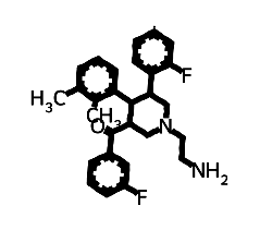 Cc1cccc(C2C(C(=O)c3cccc(F)c3)CN(CCN)CC2c2cc[c]cc2F)c1C